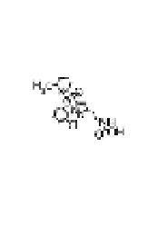 Cc1cccc(S(=O)(=O)c2cc(CCNC(=O)O)nn2-c2ccccc2Cl)n1